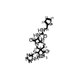 CC(Sc1nnn[nH]1)C1(C(=O)O)CS[C@@H]2C(NC(=O)NCc3cccs3)C(=O)N2C1